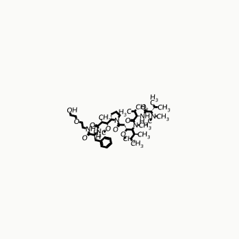 CC[C@H](C)C([C@@H](CC(=O)N1CCC[C@H]1[C@H](OC)[C@@H](C)C(=O)N[C@@H](Cc1ccccc1)C(=O)NCCOCCO)OC)N(C)C(=O)[C@@H](NC(=O)[C@H](C(C)C)N(C)C)C(C)C